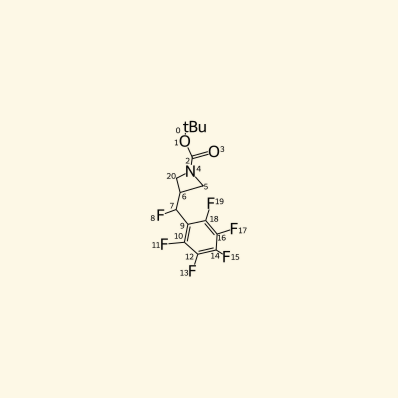 CC(C)(C)OC(=O)N1CC(C(F)c2c(F)c(F)c(F)c(F)c2F)C1